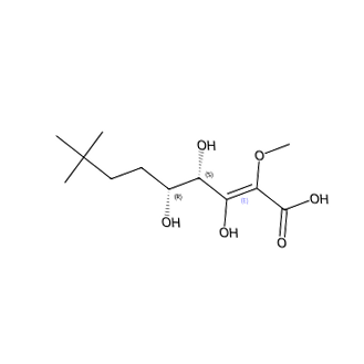 CO/C(C(=O)O)=C(/O)[C@@H](O)[C@H](O)CCC(C)(C)C